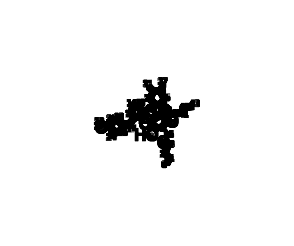 CCCCOC[C@H]1[C@H](O)[C@@H](Oc2ccccc2Cc2ccc(OC)cc2)[C@H](OCCCC)[C@@H](OCCCC)[C@@H]1OCCCC